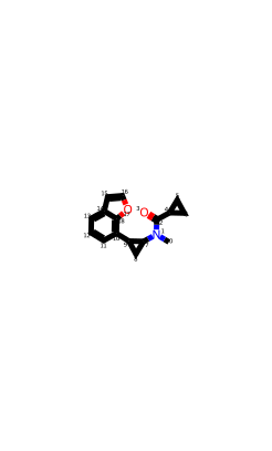 CN(C(=O)C1CC1)C1CC1c1cccc2ccoc12